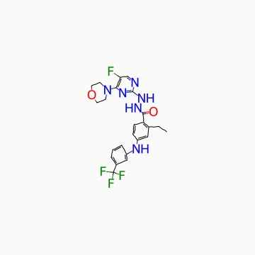 CCc1cc(Nc2cccc(C(F)(F)F)c2)ccc1C(=O)NNc1ncc(F)c(N2CCOCC2)n1